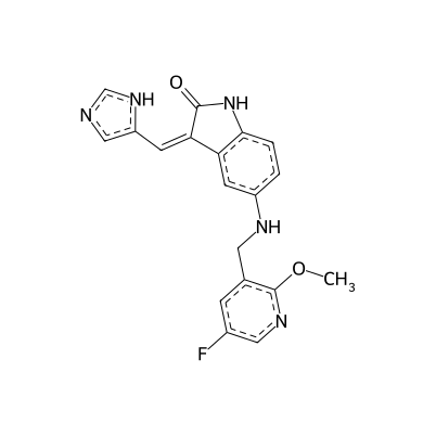 COc1ncc(F)cc1CNc1ccc2c(c1)/C(=C/c1cnc[nH]1)C(=O)N2